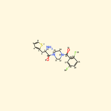 NC(Cc1cccs1)C(=O)N1CCN(C(=O)c2cc(F)ccc2F)CC1